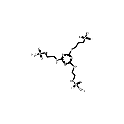 CS(=O)(=O)NCCNc1nc(NCCNS(C)(=O)=O)nc(SCCCS(=O)(=O)O)n1